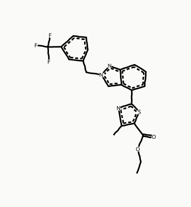 CCOC(=O)c1sc(-c2cccc3nn(Cc4cccc(C(F)(F)F)c4)cc23)nc1C